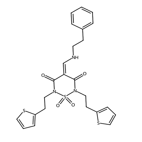 O=C1C(=CNCCc2ccccc2)C(=O)N(CCc2cccs2)S(=O)(=O)N1CCc1cccs1